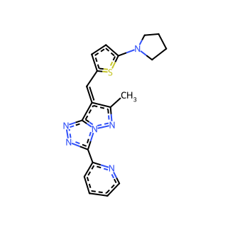 Cc1nn2c(-c3ccccn3)nnc2c1=Cc1ccc(N2CCCC2)s1